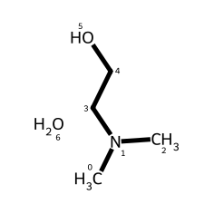 CN(C)CCO.O